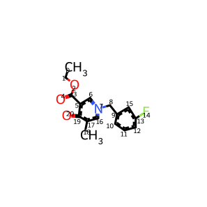 CCOC(=O)c1cn(Cc2cccc(F)c2)cc(C)c1=O